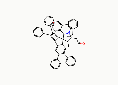 C[C@@H]1C(CC=O)N2CCc3ccccc3[C@]2(CCc2ccccc2)C12c1cc(-c3ccccc3)c(-c3ccccc3)cc1C1=CC(c3ccccc3)C(c3ccccc3)=CC12